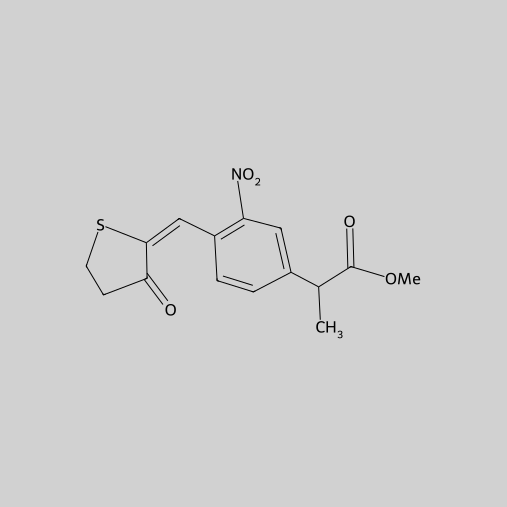 COC(=O)C(C)c1ccc(C=C2SCCC2=O)c([N+](=O)[O-])c1